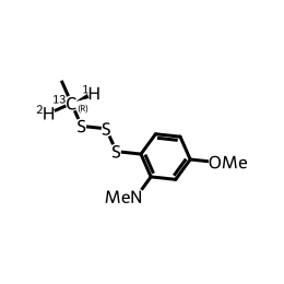 [1H][13C@@]([2H])(C)SSSc1ccc(OC)cc1NC